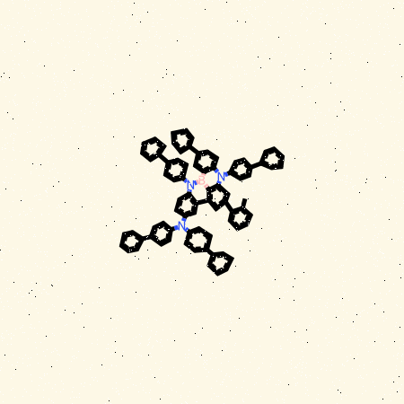 Cc1ccccc1-c1cc2c3c(c1)N(c1ccc(-c4ccccc4)cc1)c1ccc(-c4ccccc4)cc1B3N(c1ccc(-c3ccccc3)cc1)c1ccc(N(c3ccc(-c4ccccc4)cc3)c3ccc(-c4ccccc4)cc3)cc1-2